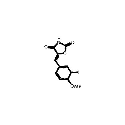 COC1C=CC(/C=C2\SC(=O)NC2=O)=CC1I